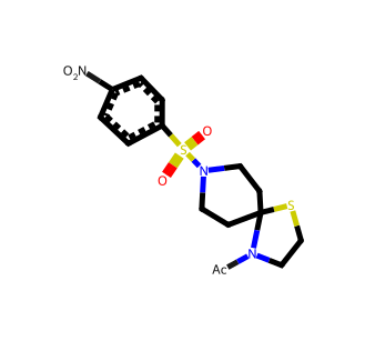 CC(=O)N1CCSC12CCN(S(=O)(=O)c1ccc([N+](=O)[O-])cc1)CC2